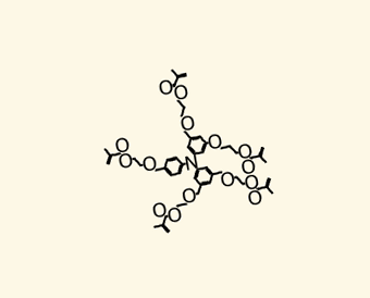 C=C(C)C(=O)OCCCOCc1cc(OCCCOC(=O)C(=C)C)cc(N(c2ccc(COCCOC(=O)C(=C)C)cc2)c2cc(COCCOC(=O)C(=C)C)cc(COCCOC(=O)C(=C)C)c2)c1